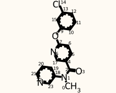 CN(C(=O)c1ccc(Oc2cccc(Cl)c2)nc1)c1cccnc1